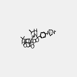 CC(C)C[C@H](NC(=O)c1ccc(N2CCN(C)CC2)cc1)C(=O)N1C[C@H](C(C)(C)C)[C@H]2OCC(=O)[C@H]21